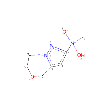 C[N+]([O-])(O)c1cc2n(n1)CCOC2